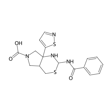 O=C(NC1NC2(c3ccns3)CN(C(=O)O)CC2CS1)c1ccccc1